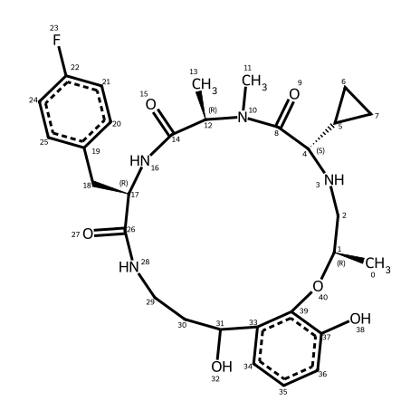 C[C@@H]1CN[C@@H](C2CC2)C(=O)N(C)[C@H](C)C(=O)N[C@H](Cc2ccc(F)cc2)C(=O)NCCC(O)c2cccc(O)c2O1